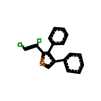 Cl/C=C(\Cl)c1scc(-c2ccccc2)c1-c1ccccc1